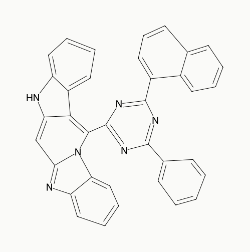 c1ccc(-c2nc(-c3cccc4ccccc34)nc(-c3c4c(cc5nc6ccccc6n35)[nH]c3ccccc34)n2)cc1